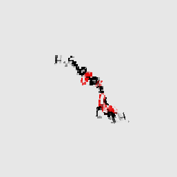 C=CC(=O)OCC(COCCCCOc1ccc(C(=O)Oc2ccc(CCCCC)cc2)cc1)OC(=O)C=C